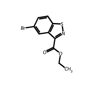 CCOC(=O)c1nsc2ccc(Br)cc12